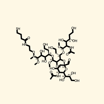 CO[C@@H](O[C@H](CCO)C(O)C(O)[C@@H](OC)N(C)OCCNC(=O)CCCS)C(O)C(O[C@]1(C=O)CC(O)[C@@H](NC(C)=O)C([C@H](O)[C@H](O)CO)O1)[C@H](CCO)O[C@H](OC)C(NC(C)=O)C(O)[C@@H](O)CCO